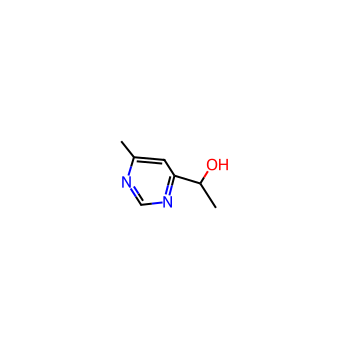 Cc1cc(C(C)O)ncn1